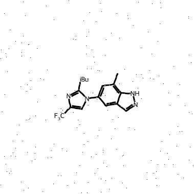 CCC(C)c1nc(C(F)(F)F)cn1-c1cc(C)c2[nH]ncc2c1